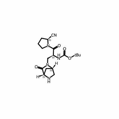 CC(C)(C)OC(=O)N[C@@H](CN1C(=O)[C@@H]2C[C@H]1CN2)C(=O)N1CCC[C@H]1C#N